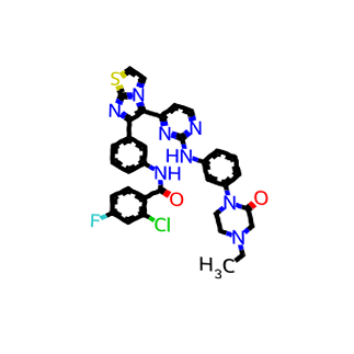 CCN1CCN(c2cccc(Nc3nccc(-c4c(-c5cccc(NC(=O)c6ccc(F)cc6Cl)c5)nc5sccn45)n3)c2)C(=O)C1